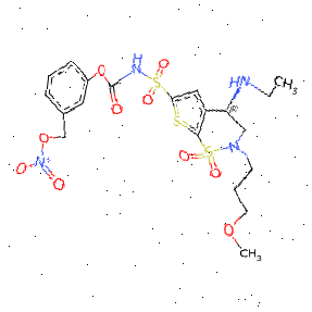 CCN[C@H]1CN(CCCOC)S(=O)(=O)c2sc(S(=O)(=O)NC(=O)Oc3cccc(CO[N+](=O)[O-])c3)cc21